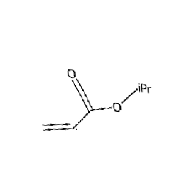 C=[C]C(=O)OC(C)C